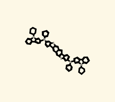 c1ccc(N(c2ccc3c(c2)sc2cc4cc5c(cc4cc23)sc2cc(N(c3ccccc3)c3ccc4c6ccccc6n(C6CCCCC6)c4c3)ccc25)c2ccc3c4ccccc4n(C4CCCCC4)c3c2)cc1